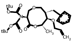 C=CCO[C@@H]1[C@@H](Cc2ccccc2)COC[C@H](N(C(=O)OC(C)(C)C)C(=O)OC(C)(C)C)C(=O)O[C@H]1C